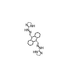 C(=NNC1=NCCN1)c1c2ccccc2c(C=NNC2=NCCN2)c2ccccc12